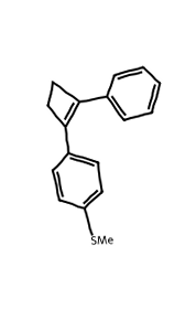 CSc1ccc(C2=C(c3ccccc3)CC2)cc1